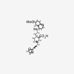 COc1ccc2nccc([C@H](F)CC[C@@H]3CCN(CC#Cc4ncco4)C[C@@H]3C(=O)O)c2c1